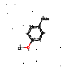 [CH2]Oc1ccc(OCC)cc1